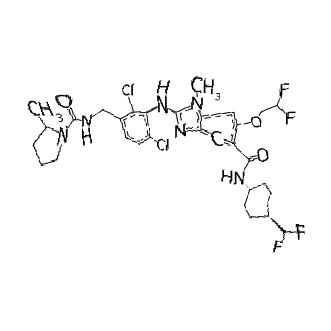 CC1CCCN1C(=O)NCc1ccc(Cl)c(Nc2nc3cc(C(=O)N[C@H]4CC[C@H](C(F)F)CC4)c(OCC(F)F)cc3n2C)c1Cl